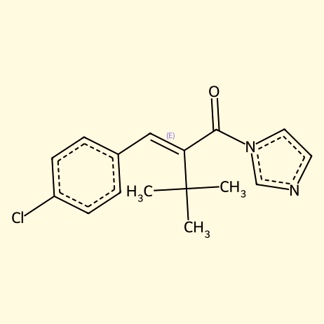 CC(C)(C)/C(=C\c1ccc(Cl)cc1)C(=O)n1ccnc1